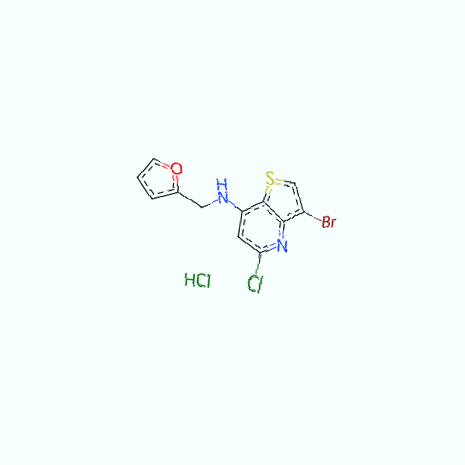 Cl.Clc1cc(NCc2ccco2)c2scc(Br)c2n1